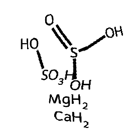 O=S(=O)(O)O.O=S(O)O.[CaH2].[MgH2]